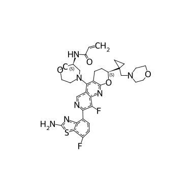 C=CC(=O)N[C@@H]1COCCN(c2c3c(nc4c(F)c(-c5ccc(F)c6sc(N)nc56)ncc24)O[C@H](C2(CN4CCOCC4)CC2)CC3)C1